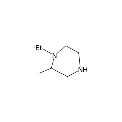 C[CH]N1CCNCC1C